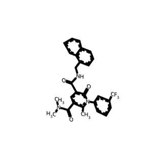 Cc1c(C(=O)N(C)C)cc(C(=O)NCc2cccc3ccccc23)c(=O)n1-c1cccc(C(F)(F)F)c1